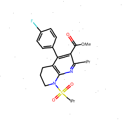 COC(=O)c1c(C(C)C)nc2c(c1-c1ccc(F)cc1)CCCN2S(=O)(=O)C(C)C